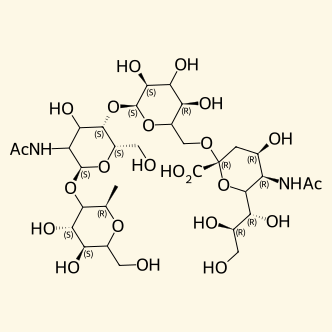 CC(=O)NC1C(O)[C@H](O[C@@H]2OC(CO[C@]3(C(=O)O)C[C@@H](O)[C@@H](NC(C)=O)C([C@H](O)[C@H](O)CO)O3)[C@H](O)C(O)[C@@H]2O)[C@H](CO)O[C@H]1OC1[C@@H](O)[C@H](O)C(CO)O[C@@H]1C